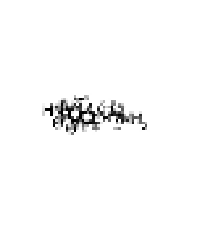 CCn1c2cc(N3CC[C@@H](C(C)(C)N)C3)c(F)cc2c(=O)c2c(=O)[nH]sc21